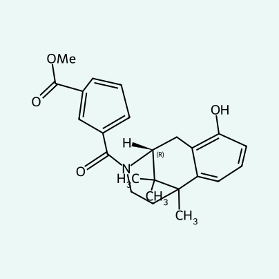 COC(=O)c1cccc(C(=O)N2CCC3(C)c4cccc(O)c4C[C@@H]2C3(C)C)c1